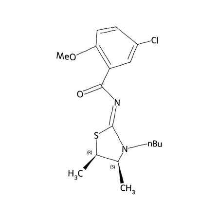 CCCCN1C(=NC(=O)c2cc(Cl)ccc2OC)S[C@H](C)[C@@H]1C